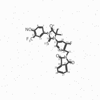 CC1(C)C(=O)N(c2ccc(C#N)c(C(F)(F)F)c2)C(=S)N1c1cnc(CN2C(=O)c3ccccc3C2=O)c(F)c1